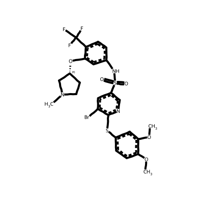 COc1ccc(Sc2ncc(S(=O)(=O)Nc3ccc(C(F)(F)F)c(O[C@@H]4CCN(C)C4)c3)cc2Br)cc1OC